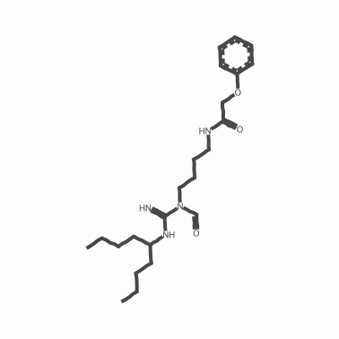 CCCCC(CCCC)NC(=N)N(C=O)CCCCNC(=O)COc1ccccc1